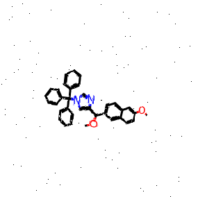 COc1ccc2cc(C(OC)c3cn(C(c4ccccc4)(c4ccccc4)c4ccccc4)cn3)ccc2c1